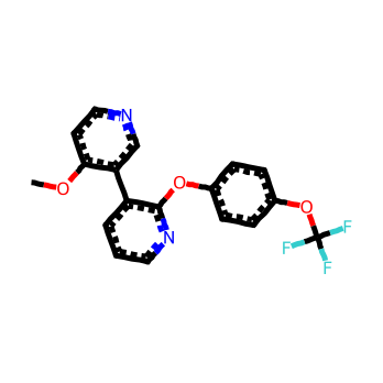 COc1ccncc1-c1cccnc1Oc1ccc(OC(F)(F)F)cc1